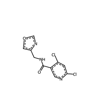 O=C(NCc1cocn1)c1cnc(Cl)cc1Cl